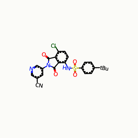 CC(C)(C)c1ccc(S(=O)(=O)Nc2ccc(Cl)c3c2C(=O)N(c2cncc(C#N)c2)C3=O)cc1